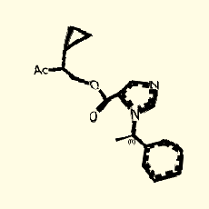 CC(=O)C(COC(=O)c1cncn1[C@H](C)c1ccccc1)C1CC1